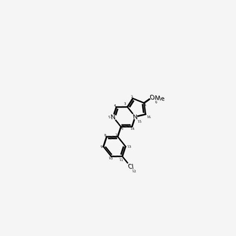 COc1cc2cnc(-c3cccc(Cl)c3)cn2c1